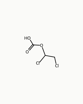 O=C(O)OC(Cl)CCl